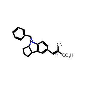 N#C/C(=C\c1ccc2c(c1)C1CCCC1N2Cc1ccccc1)C(=O)O